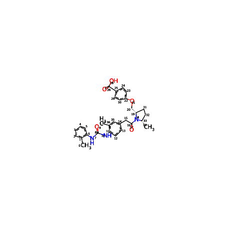 Cc1ccccc1NC(=O)Nc1ccc(CC(=O)N2[C@H](COc3ccc(C(=O)O)cc3)CC[C@@H]2C)cc1C